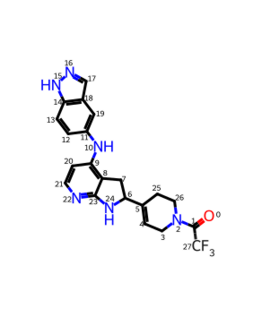 O=C(N1CC=C(C2Cc3c(Nc4ccc5[nH]ncc5c4)ccnc3N2)CC1)C(F)(F)F